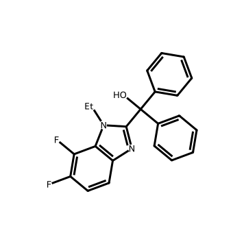 CCn1c(C(O)(c2ccccc2)c2ccccc2)nc2ccc(F)c(F)c21